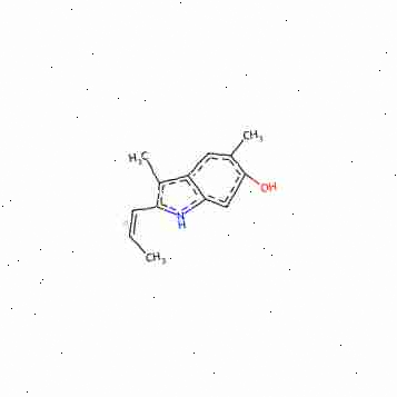 C/C=C\c1[nH]c2cc(O)c(C)cc2c1C